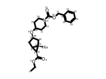 CCOC(=O)[C@H]1C2C[C@@H](OC3CCN(C(=O)OCc4ccccc4)CC3)C[C@@H]21